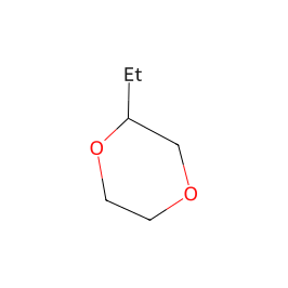 [CH2]CC1COCCO1